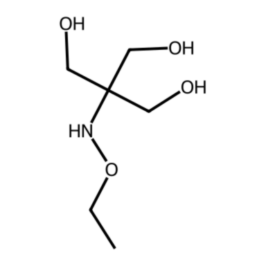 CCONC(CO)(CO)CO